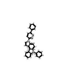 c1ccc(-c2ccc(-n3ccc4c5c6ccccc6n(-c6ccccc6)c5ccc43)nn2)cc1